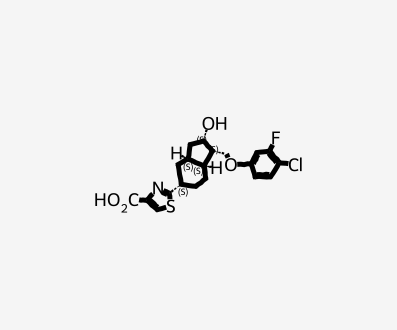 O=C(O)c1csc([C@H]2CC[C@H]3[C@@H](C2)C[C@H](O)[C@@H]3COc2ccc(Cl)c(F)c2)n1